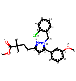 COC(=O)C(C)(C)CCc1cc(-c2cccc(OC)c2)n(Cc2ccccc2Cl)n1